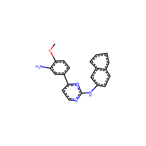 COc1ccc(-c2ccnc(Nc3ccc4ccccc4c3)n2)cc1N